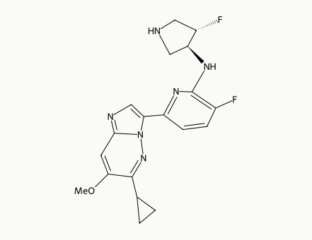 COc1cc2ncc(-c3ccc(F)c(N[C@H]4CNC[C@@H]4F)n3)n2nc1C1CC1